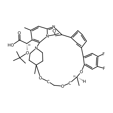 Cc1cc2nc3c(Cl)n2c(c1[C@H](OC(C)(C)C)C(=O)O)N1CCC(C)(CC1)OCCOC[C@H](C)Oc1cc(F)c(F)cc1-c1cccc-3c1